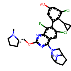 CN1CCC[C@H]1COc1nc(N2CC3CCC(C2)N3)c2cc(Cl)c(-c3cc(O)cc(Cl)c3C3CC3)c(F)c2n1